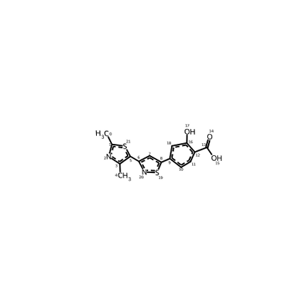 Cc1nc(C)c(-c2cc(-c3ccc(C(=O)O)c(O)c3)sn2)s1